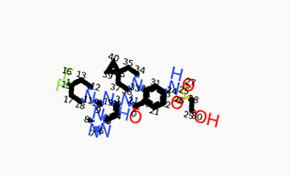 O=C(Nc1cc2nncn2c(N2CCC(F)(F)CC2)n1)c1ccc(NS(=O)(=O)CCO)cc1N1CCC2(CC1)CC2